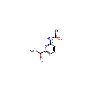 CCC(=O)Nc1cccc(C(=O)OC)n1